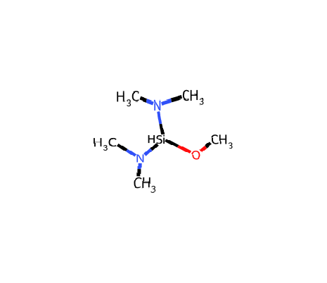 CO[SiH](N(C)C)N(C)C